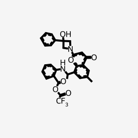 Cc1cc(C(C)Nc2ccccc2C(=O)OC(=O)C(F)(F)F)c2oc(N3CC(O)(c4ccccc4)C3)cc(=O)c2c1